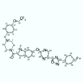 Cn1c(C(=O)N2CCN(Cc3ccc(OCC(F)(F)F)cc3)CC2)cc2ccc(Oc3cnc(-c4nc(-c5ccc(F)cc5)no4)cn3)cc21